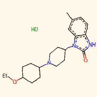 CCOC1CCC(N2CCC(n3c(=O)[nH]c4ccc(C)cc43)CC2)CC1.Cl